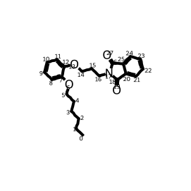 CCCCCCOc1ccccc1OCCCN1C(=O)c2ccccc2C1=O